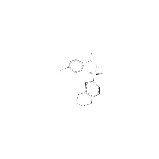 CC(NS(=O)(=O)c1ccc2c(c1)CNCC2)c1ccc(C(F)(F)F)cc1